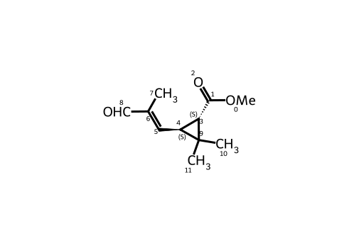 COC(=O)[C@H]1[C@H](C=C(C)C=O)C1(C)C